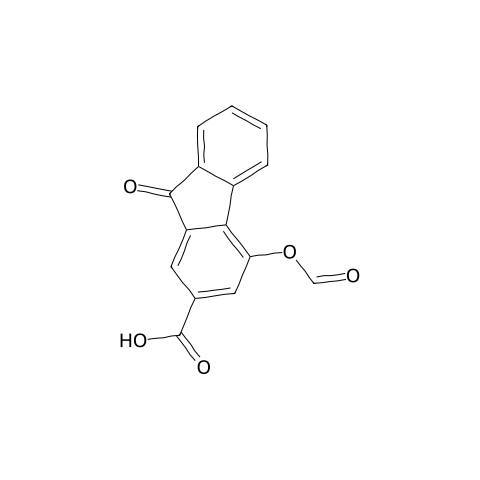 O=COc1cc(C(=O)O)cc2c1-c1ccccc1C2=O